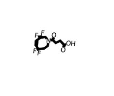 O=C(O)CCC(=O)N1CCC(F)(F)C#CC(F)(F)C1